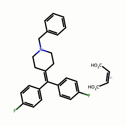 Fc1ccc(C(=C2CCN(Cc3ccccc3)CC2)c2ccc(F)cc2)cc1.O=C(O)/C=C\C(=O)O